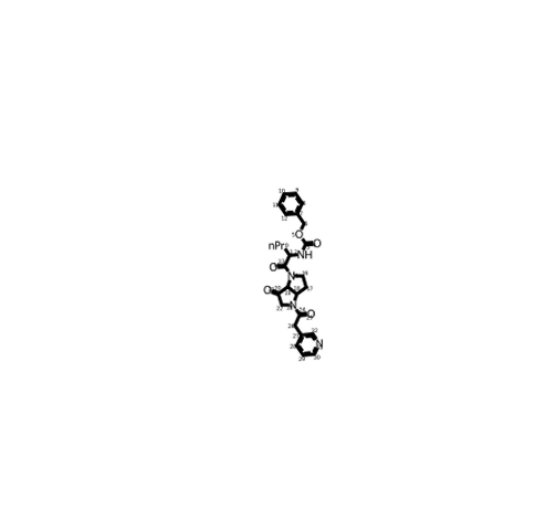 CCCC(NC(=O)OCc1ccccc1)C(=O)N1CCC2C1C(=O)CN2C(=O)Cc1cccnc1